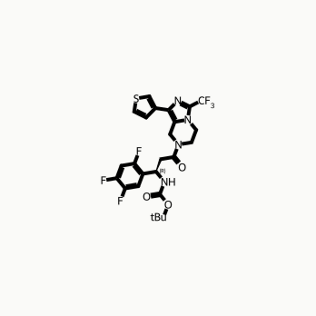 CC(C)(C)OC(=O)N[C@H](CC(=O)N1CCn2c(C(F)(F)F)nc(-c3ccsc3)c2C1)c1cc(F)c(F)cc1F